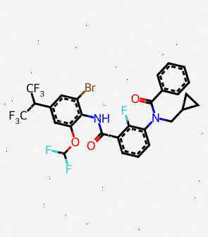 O=C(Nc1c(Br)cc(C(C(F)(F)F)C(F)(F)F)cc1OC(F)F)c1cccc(N(CC2CC2)C(=O)c2ccccc2)c1F